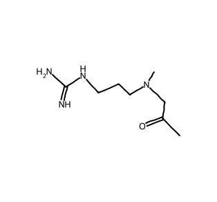 CC(=O)CN(C)CCCNC(=N)N